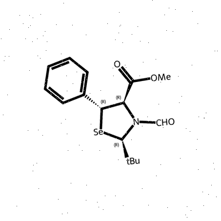 COC(=O)[C@@H]1[C@@H](c2ccccc2)[Se][C@H](C(C)(C)C)N1C=O